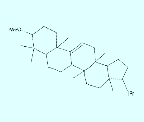 COC1CCC2(C)C3=CCC4(C)C5CCC(C(C)C)C5(C)CCC4(C)C3CCC2C1(C)C